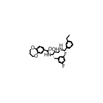 CCc1cccc(CNC[C@@H](O)[C@H](Cc2cc(F)cc(F)c2)NC(=O)c2ccc3c(c2)OCCCO3)c1